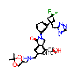 Cn1cnnc1CC1(c2cccc(N3Cc4c(cc(CNCC5COC(C)(C)O5)cc4C(F)(F)F)C3=O)c2)CC(F)(F)C1.O=CO